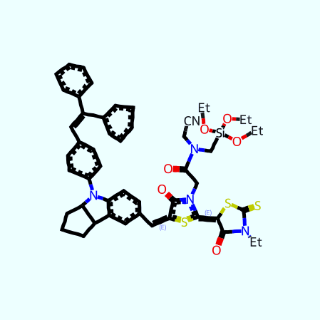 CCO[Si](CN(CC#N)C(=O)Cn1c(=O)/c(=C\c2ccc3c(c2)C2CCCC2N3c2ccc(C=C(c3ccccc3)c3ccccc3)cc2)s/c1=C1/SC(=S)N(CC)C1=O)(OCC)OCC